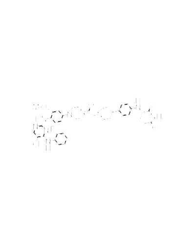 COc1cc(N2CCN(C(=O)CN3CCC(c4ccc(NC5CCC(=O)NC5=O)cc4)CC3)CC2)ccc1Nc1ncc(Cl)c(Nc2ccccc2F)n1